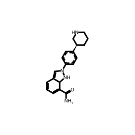 NC(=O)C1=CC=CC2=CN(c3ccc([C@@H]4CCCNC4)cc3)NC21